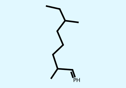 CCC(C)CCCC(C)C=P